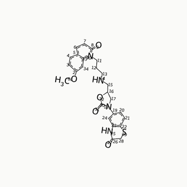 COc1ccc2ccc(=O)n(CCCNCC3CN(c4ccc5c(c4)NC(=O)CS5)C(=O)O3)c2c1